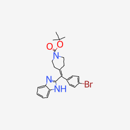 CC(C)(C)OC(=O)N1CCC(=C(c2ccc(Br)cc2)c2nc3ccccc3[nH]2)CC1